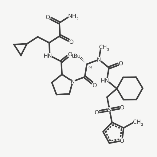 Cc1occc1S(=O)(=O)CC1(NC(=O)N(C)[C@H](C(=O)N2CCCC2C(=O)NC(CC2CC2)C(=O)C(N)=O)C(C)(C)C)CCCCC1